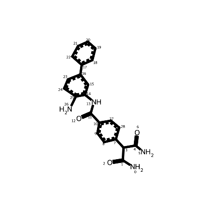 NC(=O)C(C(N)=O)c1ccc(C(=O)Nc2cc(-c3ccccc3)ccc2N)cc1